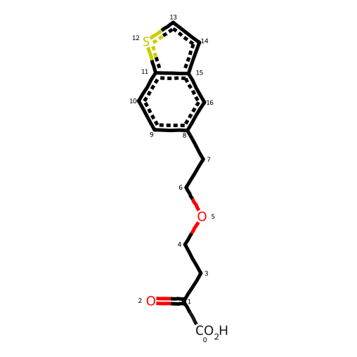 O=C(O)C(=O)CCOCCc1ccc2sccc2c1